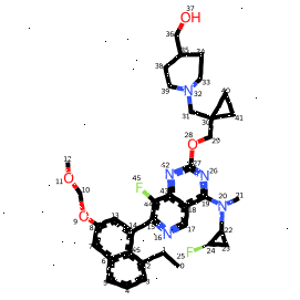 CCc1cccc2cc(OCOC)cc(-c3ncc4c(N(C)C5C[C@H]5F)nc(OCC5(CN6CCC(CO)CC6)CC5)nc4c3F)c12